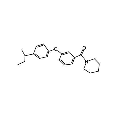 CCC(C)c1ccc(Oc2cccc(C(=O)N3CCCCC3)c2)cc1